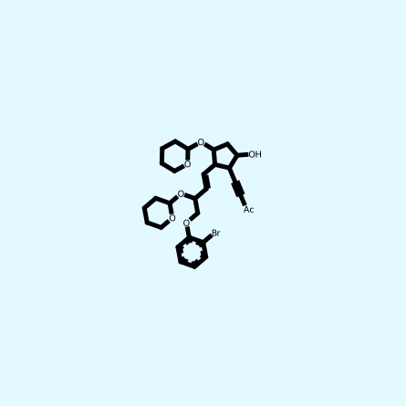 CC(=O)C#CC1C(O)CC(OC2CCCCO2)C1C=CC(COc1ccccc1Br)OC1CCCCO1